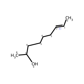 C/C=C/CCCCC(C)O